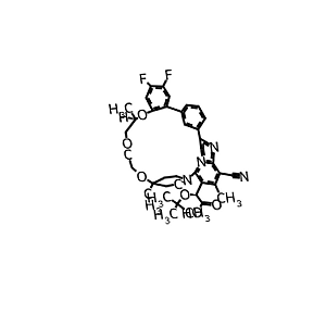 Cc1c([C@H](OC(C)(C)C)C(=O)O)c2n3cc(nc3c1C#N)-c1cccc(c1)-c1cc(F)c(F)cc1O[C@@H](C)COCCOC1(C)CCN2CC1